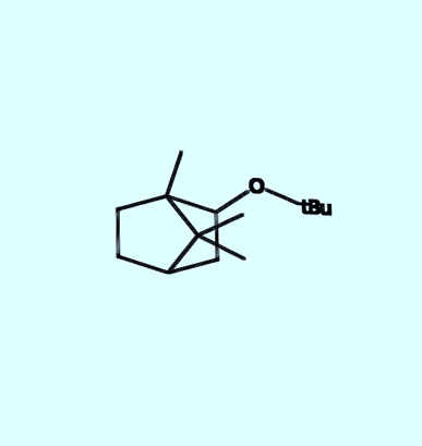 CC(C)(C)OC1CC2CCC1(C)C2(C)C